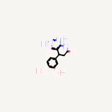 O=C1CC(c2ccc(O)c(O)c2)c2c(nc[nH]c2=O)N1